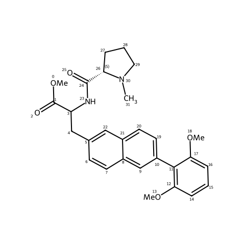 COC(=O)C(Cc1ccc2cc(-c3c(OC)cccc3OC)ccc2c1)NC(=O)[C@@H]1CCCN1C